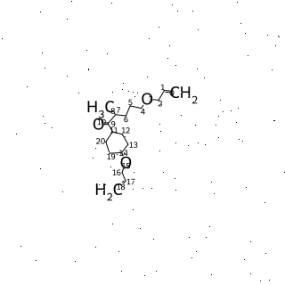 C=CCOCCCC(C)C(=O)C1CCC(OCC=C)CC1